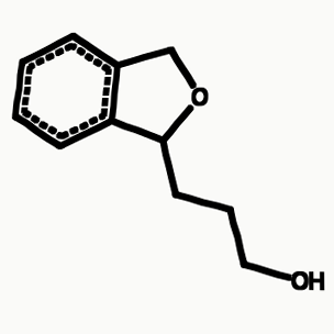 OCCCC1OCc2ccccc21